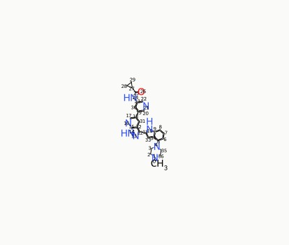 CN1CCN(c2cccc3[nH]c(-c4n[nH]c5ncc(-c6cncc(NC(=O)C7CC7)c6)cc45)cc23)CC1